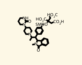 CSc1ccc(C(C(C)N2CCC(N3CCCNC3=O)CC2)C2c3ccccc3C(=O)N2C)cc1.O=C(O)CC(O)(CC(=O)O)C(=O)O